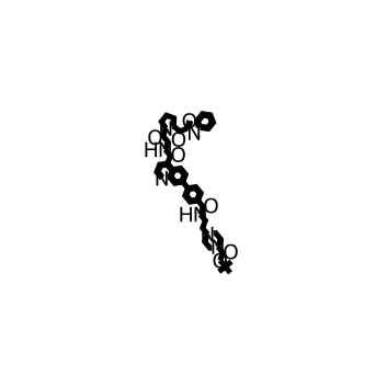 CC(C)(C)OC(=O)N1CCN(CCNC(=O)c2ccc(-c3ccc4c(C(=O)NCC(=O)N5CCCC5C(=O)c5nc6ccccc6o5)ccnc4c3)cc2)CC1